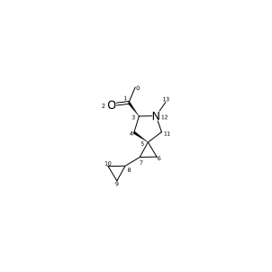 CC(=O)[C@@H]1C[C@]2(CC2C2CC2)CN1C